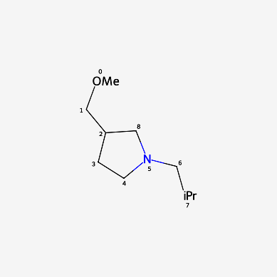 COCC1CCN(CC(C)C)C1